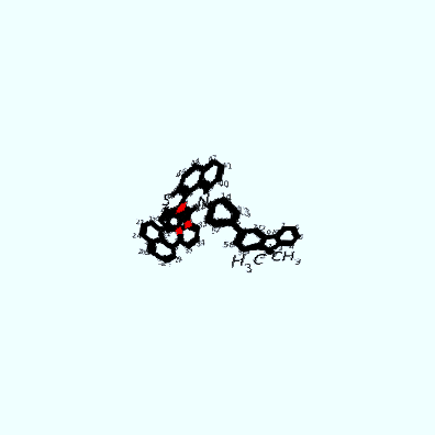 CC1(C)c2ccccc2-c2cc(-c3ccc(N(c4ccc(-c5cccc6cccc(-c7ccccc7)c56)cc4)c4cccc5ccc6sc7ccccc7c6c45)cc3)ccc21